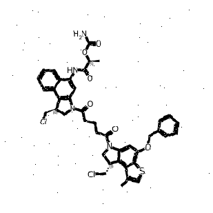 Cc1csc2c(OCc3ccccc3)cc3c(c12)[C@H](CCl)CN3C(=O)CCCC(=O)N1C[C@@H](CCl)c2c1cc(NC(=O)[C@H](C)OC(N)=O)c1ccccc21